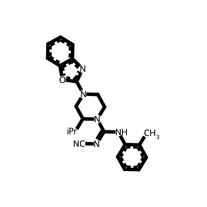 Cc1ccccc1N/C(=N/C#N)N1CCN(c2nc3ccccc3o2)CC1C(C)C